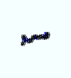 c1ccc(-c2cc(-c3ccc4ccc(-c5ccc6ccc(-c7ccc8cc(-c9ccc%10ccc%11cccnc%11c%10n9)ccc8c7)nc6c5)cc4n3)nc(-c3ccccc3)n2)cc1